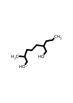 CCCC(CO)C[CH]CC(C)CO